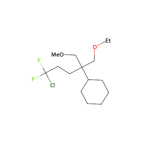 CCOCC(CCC(F)(F)Cl)(COC)C1CCCCC1